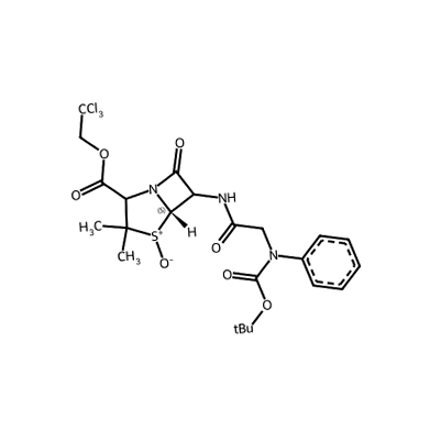 CC(C)(C)OC(=O)N(CC(=O)NC1C(=O)N2C(C(=O)OCC(Cl)(Cl)Cl)C(C)(C)[S+]([O-])[C@@H]12)c1ccccc1